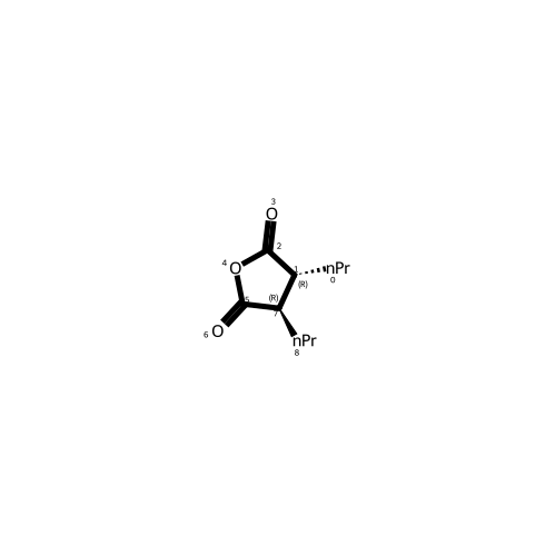 CCC[C@H]1C(=O)OC(=O)[C@@H]1CCC